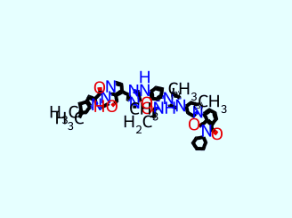 C=CC(=O)Nc1cc(Nc2nc(-c3ccnc(N4CCn5c(cc6c5CC(C)(C)C6)C4=O)c3CO)cn(C)c2=O)ccc1N1CCN(C2CCN(c3cccc4c3C(=O)N(C3CCCCC3)C4=O)[C@@H](C)C2)C[C@@H]1C